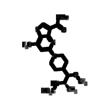 CNC(=O)c1csc2c(C(F)(F)F)cc(N3CCC(C(OC(F)(F)F)[C@H](C)NC(=O)O)CC3)nc12